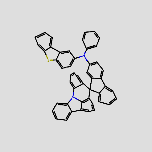 c1ccc(N(c2ccc3c(c2)C2(c4ccccc4-3)c3ccccc3-n3c4ccccc4c4cccc2c43)c2ccc3sc4ccccc4c3c2)cc1